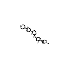 CN1CC2CC1CN2c1ccc(Nc2nccc(-c3cnc(N4CCOCC4)nc3)n2)cc1F